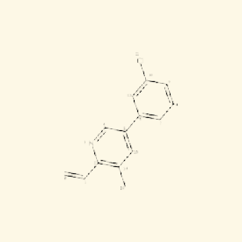 C=Cc1ncc(-c2cccc(Cl)c2)cc1C